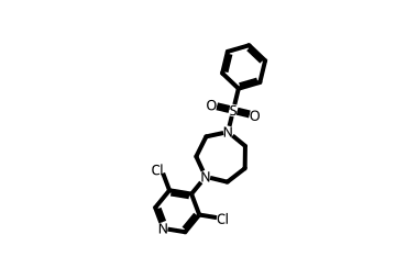 O=S(=O)(c1ccccc1)N1CCCN(c2c(Cl)cncc2Cl)CC1